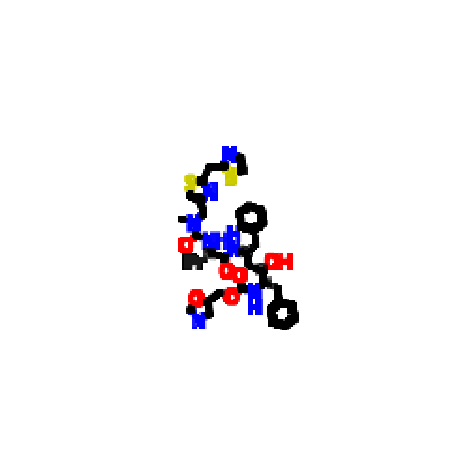 CC(C)[C@H](NC(=O)N(C)Cc1csc(Cc2nccs2)n1)C(=O)N[C@@H](Cc1ccccc1)C[C@H](O)[C@H](Cc1ccccc1)NC(=O)OCc1cnco1